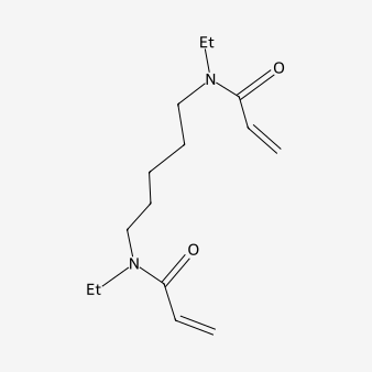 C=CC(=O)N(CC)CCCCCN(CC)C(=O)C=C